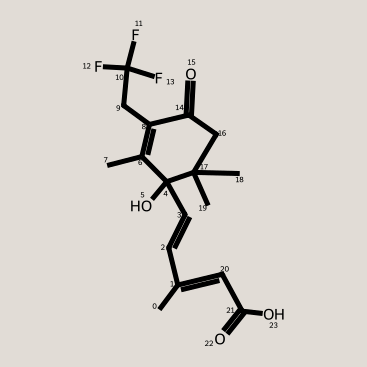 CC(C=CC1(O)C(C)=C(CC(F)(F)F)C(=O)CC1(C)C)=CC(=O)O